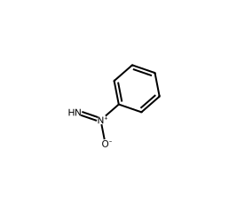 N=[N+]([O-])c1ccccc1